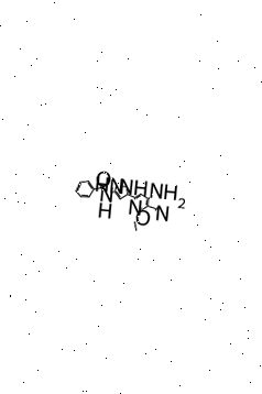 CCOc1nc(C2C=C(NC(=O)c3ccccc3)NN2)cc(N)c1C#N